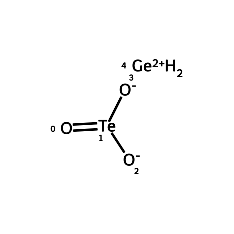 O=[Te]([O-])[O-].[GeH2+2]